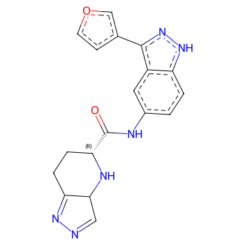 O=C(Nc1ccc2[nH]nc(-c3ccoc3)c2c1)[C@H]1CCC2=NN=CC2N1